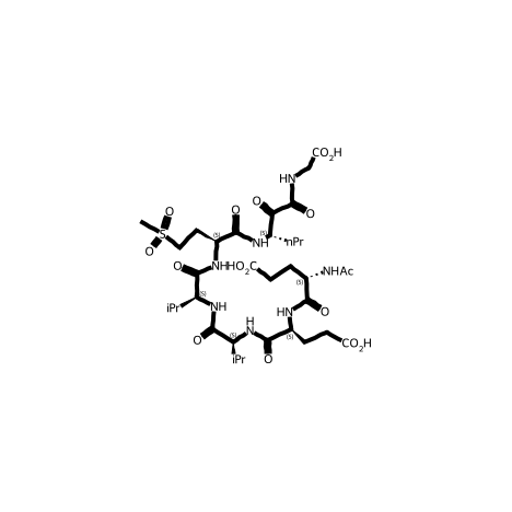 CCC[C@H](NC(=O)[C@H](CCS(C)(=O)=O)NC(=O)[C@@H](NC(=O)[C@@H](NC(=O)[C@H](CCC(=O)O)NC(=O)[C@H](CCC(=O)O)NC(C)=O)C(C)C)C(C)C)C(=O)C(=O)NCC(=O)O